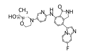 C[C@@H](O)[C@@H]1CN(c2ccc(Nc3ccc(-c4cnc5cc(F)ccn45)c4c3C(=O)NC4)nc2)CCO1